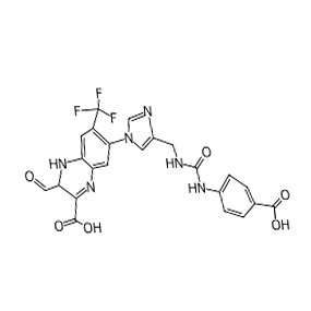 O=CC1Nc2cc(C(F)(F)F)c(-n3cnc(CNC(=O)Nc4ccc(C(=O)O)cc4)c3)cc2N=C1C(=O)O